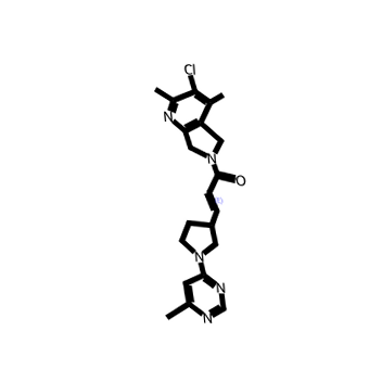 Cc1cc(N2CCC(/C=C/C(=O)N3Cc4nc(C)c(Cl)c(C)c4C3)C2)ncn1